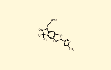 COCCN1C(=O)C(C)(C)c2cc3c(cc21)NC(c1coc(C)c1)N3